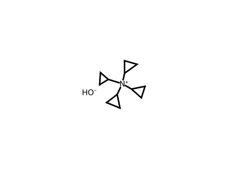 C1CC1[N+](C1CC1)(C1CC1)C1CC1.[OH-]